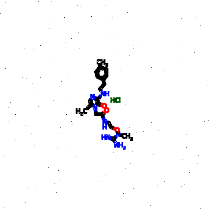 Cc1ccc(CCNc2ncc(C)n(CC(=O)NCCON(C)C(=N)N)c2=O)cc1.Cl